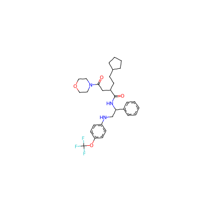 O=C(NC(CNc1ccc(OC(F)(F)F)cc1)c1ccccc1)C(CCC1CCCC1)CC(=O)N1CCOCC1